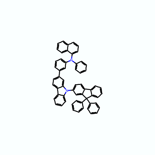 c1ccc(N(c2cccc(-c3ccc4c5ccccc5n(-c5ccc6c(c5)C(c5ccccc5)(c5ccccc5)c5ccccc5-6)c4c3)c2)c2cccc3ccccc23)cc1